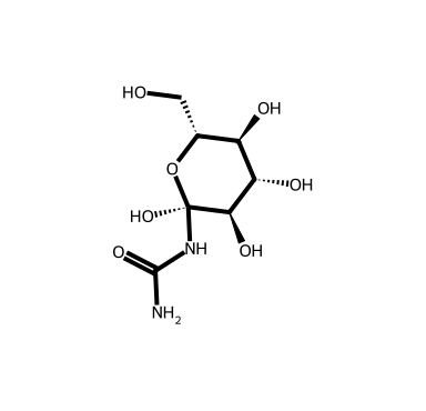 NC(=O)N[C@@]1(O)O[C@H](CO)[C@@H](O)[C@H](O)[C@H]1O